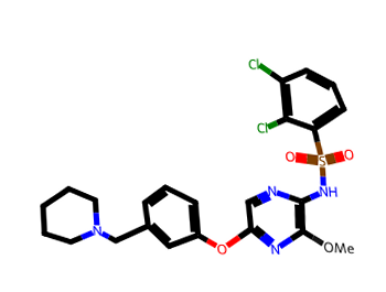 COc1nc(Oc2cccc(CN3CCCCC3)c2)cnc1NS(=O)(=O)c1cccc(Cl)c1Cl